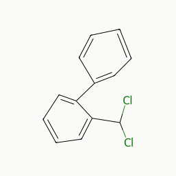 ClC(Cl)c1ccccc1-c1ccccc1